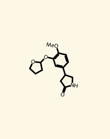 COc1ccc(C2CNC(=O)C2)cc1OC1CCCO1